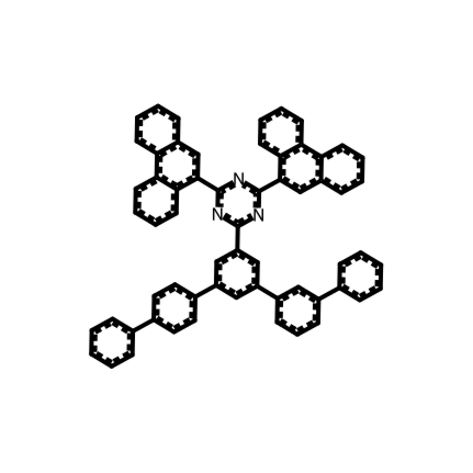 c1ccc(-c2ccc(-c3cc(-c4cccc(-c5ccccc5)c4)cc(-c4nc(-c5cc6ccccc6c6ccccc56)nc(-c5cc6ccccc6c6ccccc56)n4)c3)cc2)cc1